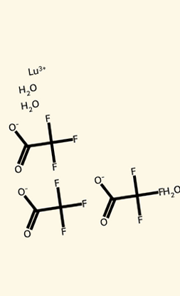 O.O.O.O=C([O-])C(F)(F)F.O=C([O-])C(F)(F)F.O=C([O-])C(F)(F)F.[Lu+3]